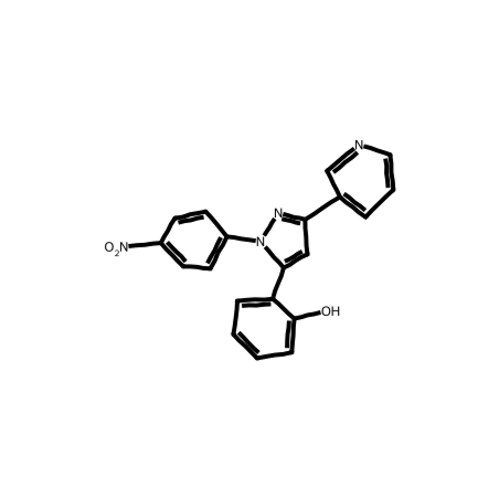 O=[N+]([O-])c1ccc(-n2nc(-c3cccnc3)cc2-c2ccccc2O)cc1